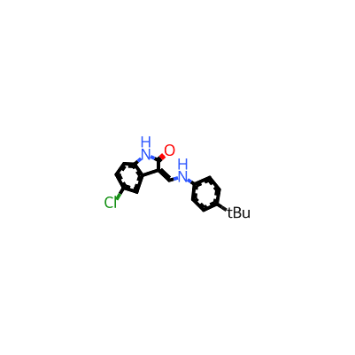 CC(C)(C)c1ccc(NC=C2C(=O)Nc3ccc(Cl)cc32)cc1